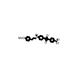 CCN(CC)c1ccc(C2=C([O-])C(=C3C=CC(=[N+](CC)CCCc4ccc(OC)cc4)C=C3)C2=O)cc1